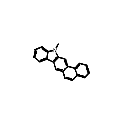 Cn1c2ccccc2c2cc3ccc4ccccc4c3cc21